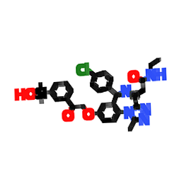 CCNC(=O)C[C@@H]1N=C(c2ccc(Cl)cc2)c2cc(OCC(=O)c3cccc([Si](C)(C)O)c3)ccc2-n2c(C)nnc21